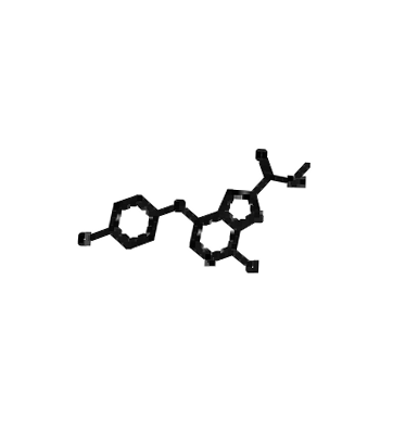 CNC(=O)c1cc2c(Oc3ccc(Cl)cc3)cnc(Cl)c2s1